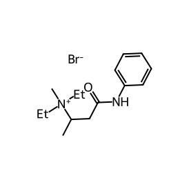 CC[N+](C)(CC)C(C)CC(=O)Nc1ccccc1.[Br-]